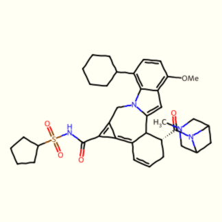 COc1ccc(C2CCCCC2)c2c1cc1n2CC2=C(C(=O)NS(=O)(=O)C3CCCC3)C2=C2C=CC[C@@H](C(=O)N3C4CC3CN(C)C4)C21